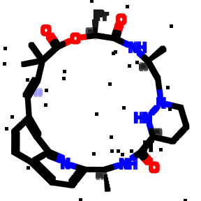 CC(C)[C@@H]1OC(=O)C(C)(C)/C=C/c2ccc3ccc(nc3c2)[C@@H](C)NC(=O)[C@@H]2CCCN(C[C@H](C)NC1=O)N2